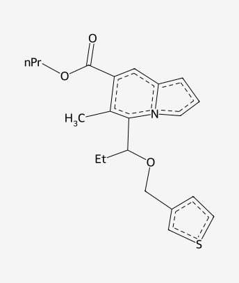 CCCOC(=O)c1cc2cccn2c(C(CC)OCc2ccsc2)c1C